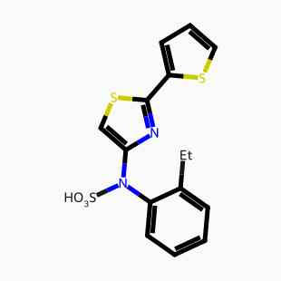 CCc1ccccc1N(c1csc(-c2cccs2)n1)S(=O)(=O)O